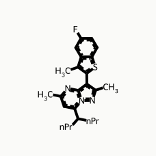 CCCC(CCC)c1cc(C)nc2c(-c3sc4ccc(F)cc4c3C)c(C)nn12